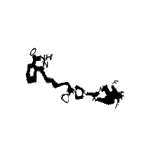 O=C(CCCCc1n[nH]c(=O)c2ccccc12)N1CCN(c2ncc(C(F)(F)F)cn2)CC1